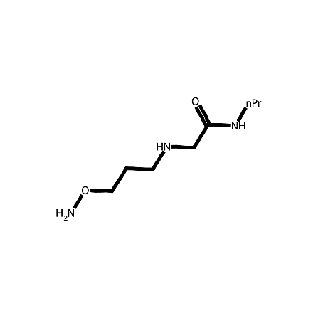 CCCNC(=O)CNCCCON